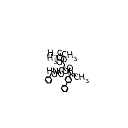 CCN(C(=O)OC(CC(=O)NOCc1ccccc1)CC(=O)OC(C)(C)C)c1ccc(-c2ccccc2)cc1